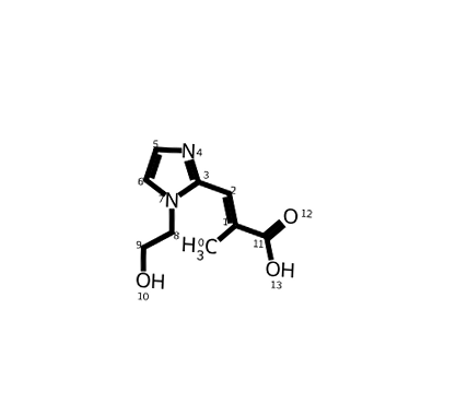 CC(=Cc1nccn1CCO)C(=O)O